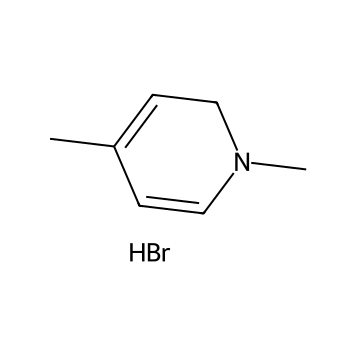 Br.CC1=CCN(C)C=C1